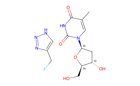 Cc1cn([C@H]2C[C@H](O)[C@@H](CO)O2)c(=O)[nH]c1=O.FCc1c[nH]nn1